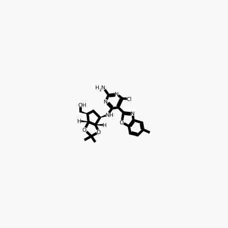 Cc1ccc2oc(-c3c(Cl)nc(N)nc3N[C@@H]3C[C@H](CO)[C@H]4OC(C)(C)O[C@H]43)nc2c1